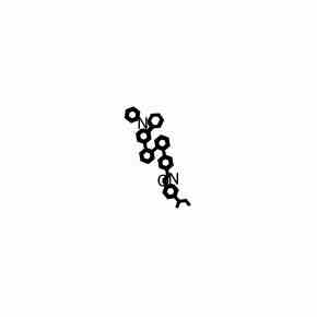 CCC(C)c1ccc2oc(-c3ccc(-c4ccccc4-c4ccccc4-c4ccc5c(c4)c4c(n5-c5ccccc5)CCC=C4)cc3)nc2c1